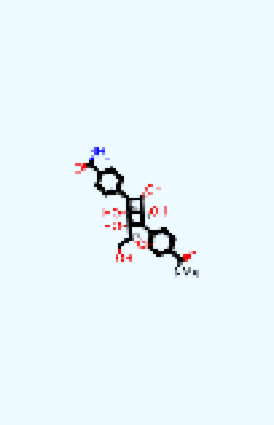 CNC(=O)c1ccc(C2[C@]3(O)C(O)C(c4ccc(C(N)=O)cc4)[C@]3(O)[C@]2(O)[C@H](O)CO)cc1